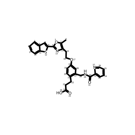 Cc1oc(-c2cc3ccccc3s2)nc1CCOc1ccc(CCC(=O)O)c(CNC(=O)c2ccccn2)c1